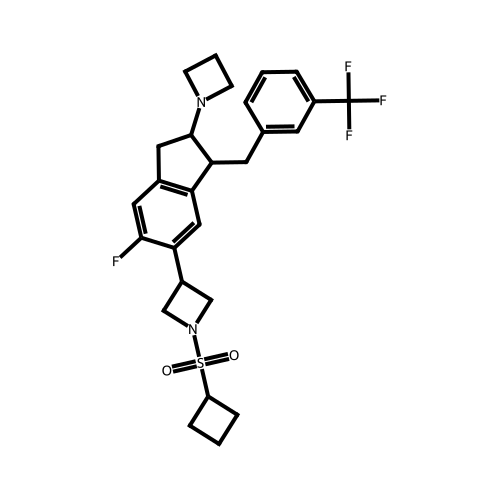 O=S(=O)(C1CCC1)N1CC(c2cc3c(cc2F)CC(N2CCC2)C3Cc2cccc(C(F)(F)F)c2)C1